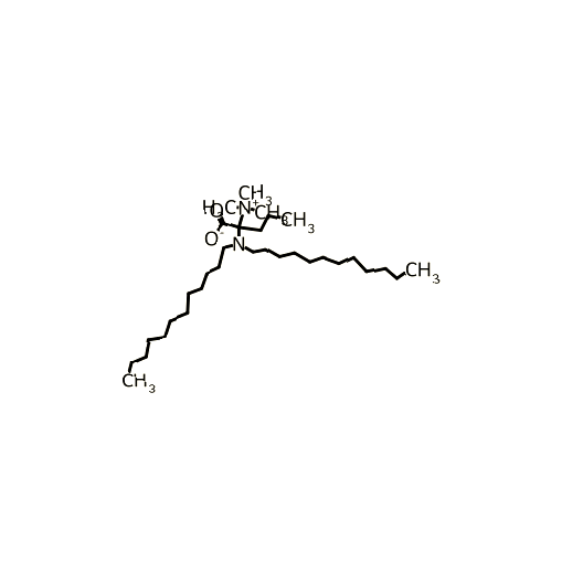 CCCCCCCCCCCCN(CCCCCCCCCCCC)C(CCC)(C(=O)[O-])[N+](C)(C)C